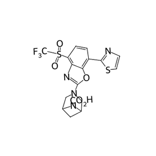 O=C(O)N1C2CC1CN(c1nc3c(S(=O)(=O)C(F)(F)F)ccc(-c4nccs4)c3o1)C2